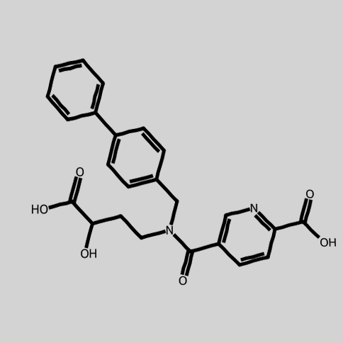 O=C(O)c1ccc(C(=O)N(CCC(O)C(=O)O)Cc2ccc(-c3ccccc3)cc2)cn1